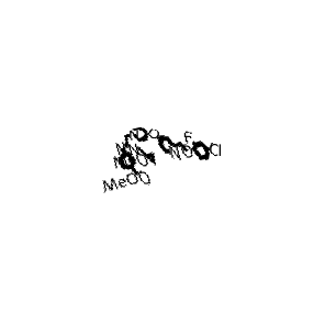 COC(=O)c1ccc2nc(CN3CCC(Oc4ccnc(COc5ccc(Cl)cc5F)c4)CC3)n(CC3(OC)CC3)c2c1